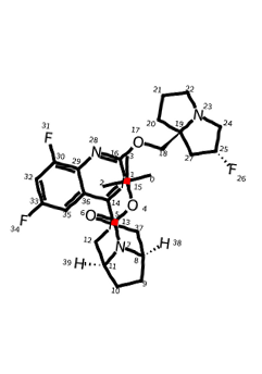 CC(C)(C)OC(=O)N1[C@@H]2CC[C@H]1CN(c1nc(OC[C@@]34CCCN3C[C@H](F)C4)nc3c(F)cc(F)cc13)C2